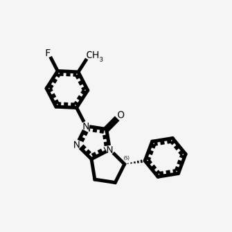 Cc1cc(-n2nc3n(c2=O)[C@H](c2ccccc2)CC3)ccc1F